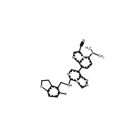 CN(C)c1ccc(-c2cnc(NCc3c(F)ccc4c3CCO4)n3cnnc23)c2ncc(C#N)n12